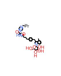 Cc1cccc2c1c(Cc1ccc(CCCC(=O)NC(C)(C)C(=O)N3CCN(CC(C)C)CC3)cc1)cn2[C@@H]1O[C@H](CO)[C@@H](O)[C@H](O)[C@H]1O